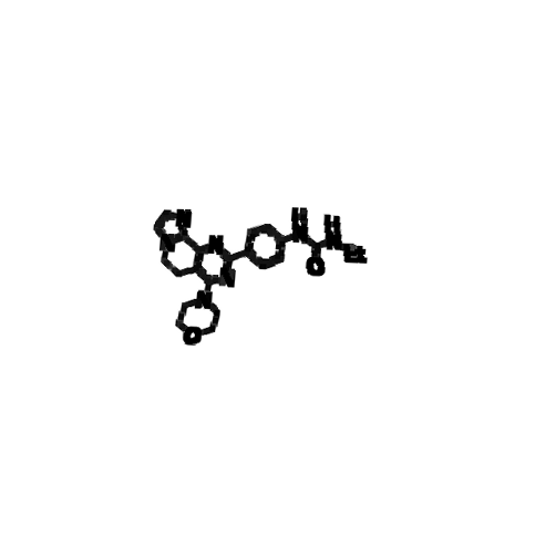 CCNC(=O)Nc1ccc(-c2nc3c(c(N4CCOCC4)n2)CCn2ccnc2-3)cc1